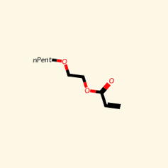 C=CC(=O)OCCOCCCCC